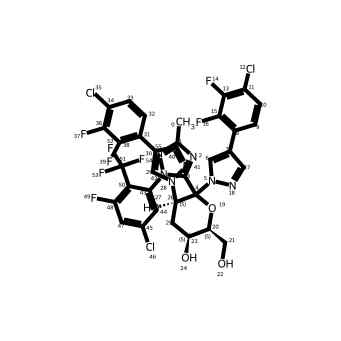 Cc1nc(C2(n3cc(-c4ccc(Cl)c(F)c4F)cn3)O[C@@H](CO)[C@@H](O)C[C@@]2(O)n2cc(-c3ccc(Cl)c(F)c3F)cn2)n(-c2cc(Cl)cc(F)c2C(F)(F)F)n1